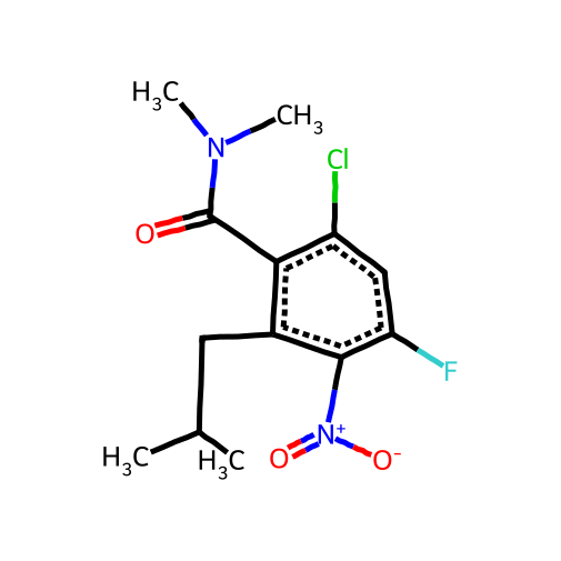 CC(C)Cc1c(C(=O)N(C)C)c(Cl)cc(F)c1[N+](=O)[O-]